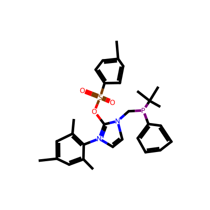 Cc1ccc(S(=O)(=O)Oc2n(CP(c3ccccc3)C(C)(C)C)cc[n+]2-c2c(C)cc(C)cc2C)cc1